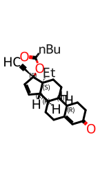 C#C[C@]1(OC(=O)CCCC)C=C[C@H]2[C@@H]3CCC4=CC(=O)CC[C@@H]4[C@H]3CC[C@@]21CC